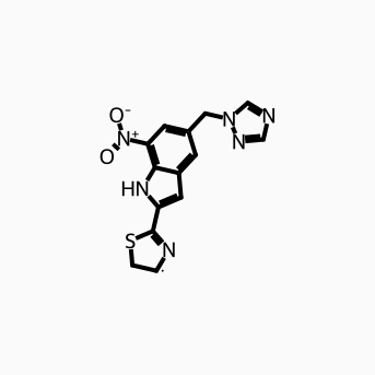 O=[N+]([O-])c1cc(Cn2cncn2)cc2cc(C3=N[CH]CS3)[nH]c12